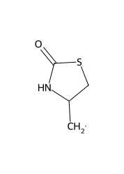 [CH2]C1CSC(=O)N1